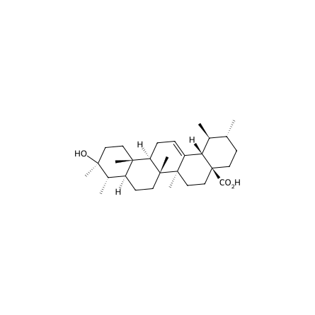 C[C@H]1[C@H](C)CC[C@]2(C(=O)O)CC[C@]3(C)C(=CC[C@@H]4[C@@]5(C)CC[C@](C)(O)[C@@H](C)[C@@H]5CC[C@]43C)[C@H]12